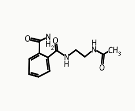 CC(=O)NCCNC(=O)c1ccccc1C(N)=O